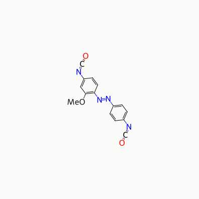 COc1cc(N=C=O)ccc1N=Nc1ccc(N=C=O)cc1